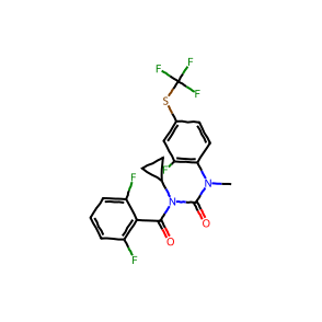 CN(C(=O)N(C(=O)c1c(F)cccc1F)C1CC1)c1ccc(SC(F)(F)F)cc1F